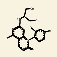 O=c1ccc2c(Cl)nc(NC(CO)CO)nc2n1-c1ccc(F)cc1F